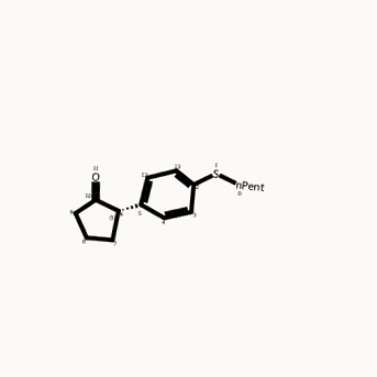 CCCCCSc1ccc([C@@H]2CCCC2=O)cc1